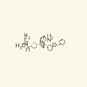 CCN(C)C(=O)C1CCC(c2nc(-c3cccc(OCc4ccccc4)c3)c3c(N)nccn23)CC1